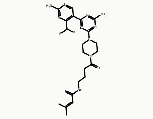 CC(C)=CC(=O)NCCCC(=O)N1CCN(c2nc(N)nc(-c3cnc(N)nc3C(F)F)n2)CC1